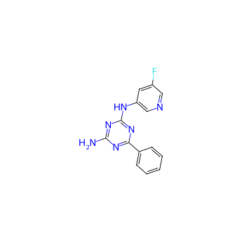 Nc1nc(Nc2cncc(F)c2)nc(-c2ccccc2)n1